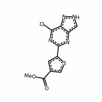 COC(=O)c1csc(-c2nc(Cl)c3n[nH]cc3n2)c1